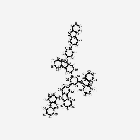 c1ccc2c(c1)sc1cc(-c3ccc(-n4c5ccccc5c5cc(-c6cc(-c7ccc8c(c7)c7ccccc7n8-c7cncc8c7sc7ccccc78)cc(-n7c8ccccc8c8ccccc87)c6)ccc54)cc3)ccc12